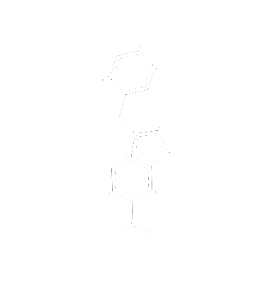 O=[N+]([O-])c1ccc2c(c1)ncn2Cc1cnccn1